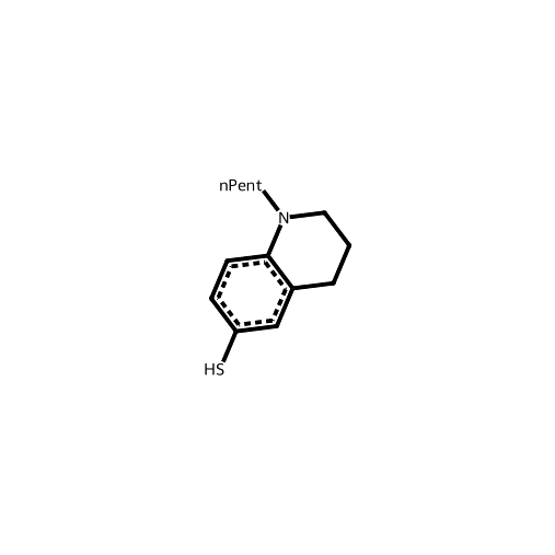 CCCCCN1CCCc2cc(S)ccc21